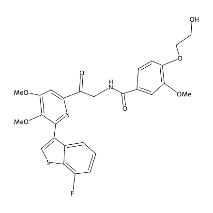 COc1cc(C(=O)NCC(=O)c2cc(OC)c(OC)c(-c3csc4c(F)cccc34)n2)ccc1OCCO